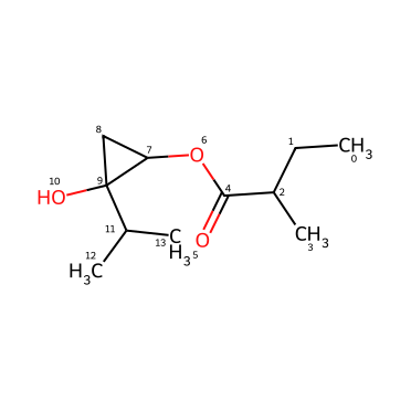 CCC(C)C(=O)OC1CC1(O)C(C)C